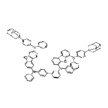 c1ccc(N(c2ccc(C34CC5CC(CC(C5)C3)C4)cc2)c2ccc3c(c2)oc2ccc(N(c4ccccc4)c4ccc(-c5cccc(N(c6ccccc6)c6cccc7c6oc6c(N(c8ccccc8)c8ccc(C9%10CC%11CC(CC(C%11)C9)C%10)cc8)cccc67)c5)cc4)cc23)cc1